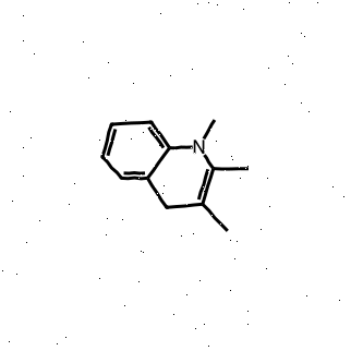 CC1=C(C)N(C)c2ccccc2C1